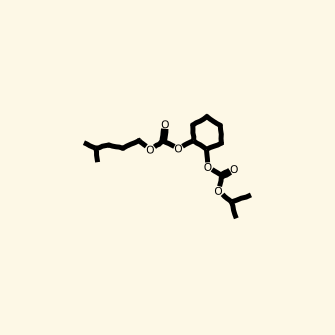 CC(C)CCCOC(=O)OC1CCCCC1OC(=O)OC(C)C